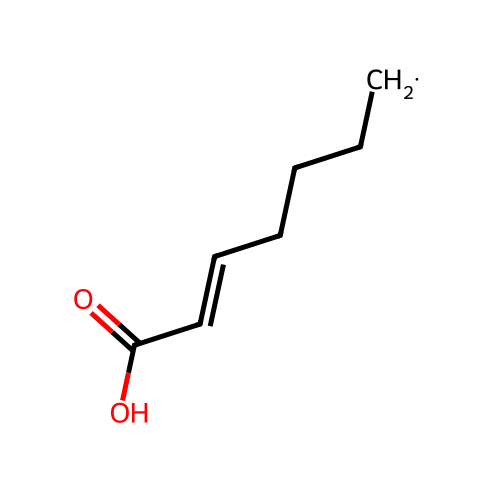 [CH2]CCCC=CC(=O)O